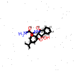 CC(C)c1ccc2c(c1)OC1(O)c3ccccc3C(=O)C21NC(=O)C(N)=O